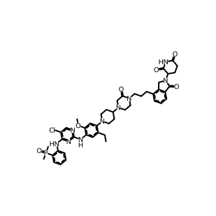 CCc1cc(Nc2ncc(Cl)c(Nc3ccccc3P(C)(C)=O)n2)c(OC)cc1N1CCC(N2CCN(CCCc3cccc4c3CN(C3CCC(=O)NC3=O)C4=O)C(=O)C2)CC1